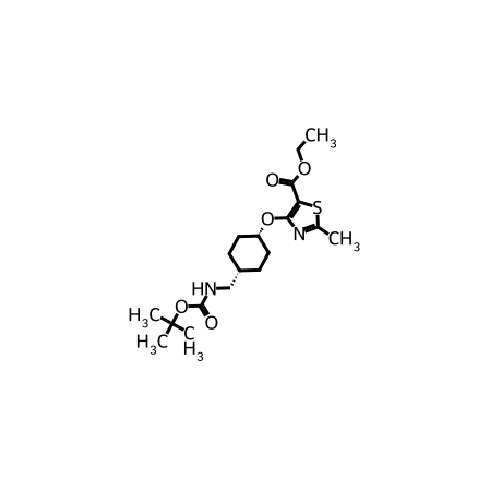 CCOC(=O)c1sc(C)nc1O[C@H]1CC[C@@H](CNC(=O)OC(C)(C)C)CC1